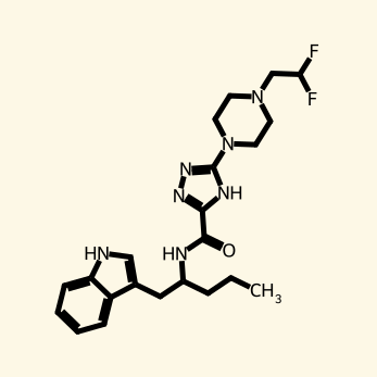 CCCC(Cc1c[nH]c2ccccc12)NC(=O)c1nnc(N2CCN(CC(F)F)CC2)[nH]1